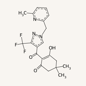 Cc1cccc(Cn2cc(C(=O)C3=C(O)CC(C)(C)CC3=O)c(C(F)(F)F)n2)n1